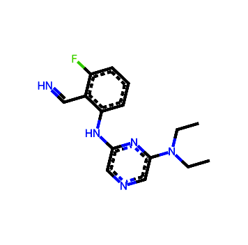 CCN(CC)c1cncc(Nc2cccc(F)c2C=N)n1